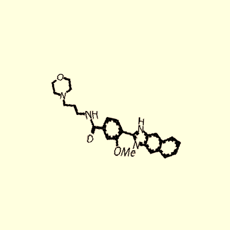 COc1cc(C(=O)NCCCN2CCOCC2)ccc1-c1nc2cc3ccccc3cc2[nH]1